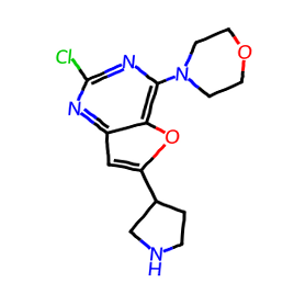 Clc1nc(N2CCOCC2)c2oc(C3CCNC3)cc2n1